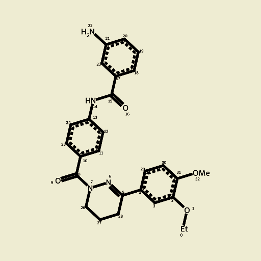 CCOc1cc(C2=NN(C(=O)c3ccc(NC(=O)c4cccc(N)c4)cc3)CCC2)ccc1OC